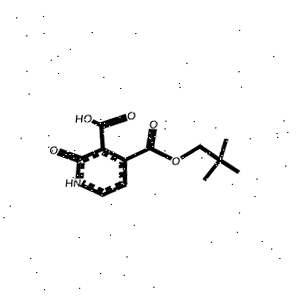 CC(C)(C)[CH]OC(=O)c1cc[nH]c(=O)c1C(=O)O